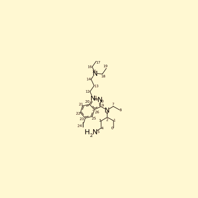 CCC(CCN)N(CC)c1nn(CCCN(CC)CC)c2ccc(I)cc12